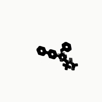 CC(=O)N[C@H](C1=N[C@@H](Cc2ccccc2)[C@H](c2ccc(-c3ccccc3)cc2)O1)C(C)(C)C